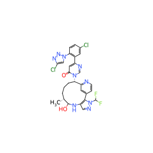 C[C@@H]1CCC[C@H](n2cnc(-c3cc(Cl)ccc3-n3cc(Cl)nn3)cc2=O)c2cc(ccn2)-c2c(cnn2C(F)F)NC1O